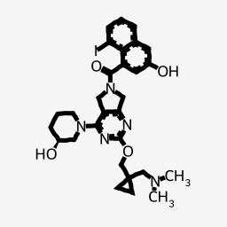 CN(C)CC1(COc2nc3c(c(N4CCC[C@H](O)C4)n2)CN(C(=O)c2cc(O)cc4cccc(I)c24)C3)CC1